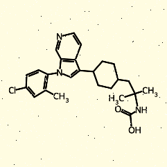 Cc1cc(Cl)ccc1-n1cc(C2CCC(CC(C)(C)NC(=O)O)CC2)c2ccncc21